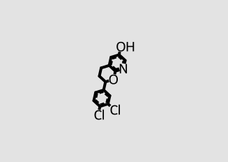 Oc1cnc2c(c1)CCC(c1ccc(Cl)c(Cl)c1)O2